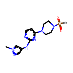 CCS(=O)(=O)N1CCN(c2ccnc(Nc3cnn(C)c3)n2)CC1